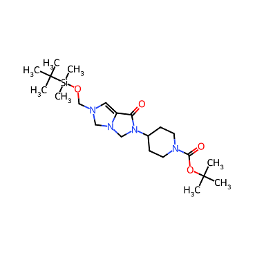 CC(C)(C)OC(=O)N1CCC(N2CN3CN(CO[Si](C)(C)C(C)(C)C)C=C3C2=O)CC1